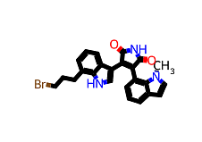 Cn1ccc2cccc(C3=C(c4c[nH]c5c(CCCBr)cccc45)C(=O)NC3=O)c21